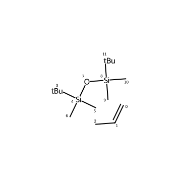 C=CC.CC(C)(C)[Si](C)(C)O[Si](C)(C)C(C)(C)C